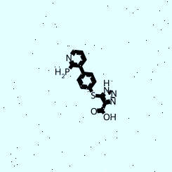 O=C(O)c1nn[nH]c1Sc1ccc(-c2cccnc2P)cc1